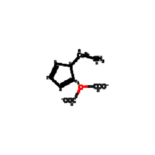 O=C([O-])OC(=O)[O-].[SiH3][Co+2][CH]1C=CC=C1